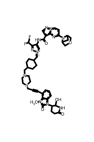 Cn1c(=O)n(C2CCC(=O)NC2O)c2cccc(C#CCN3CCN(CC4CCC(/C=[N+]5/C=C(NC(=O)c6cnn7ccc(N8C9COCC8C9)nc67)C(C(F)F)=N5)CC4)CC3)c21